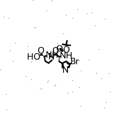 CC(C)(C)OC(=O)N[C@@H](Cc1cncc(Br)c1)C(=O)N1CCC[C@@H](C(=O)O)N1